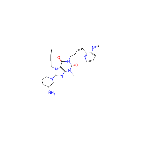 C=Nc1cccnc1/C=C\CCn1c(=O)c2c(nc(N3CCCC(N)C3)n2CC#CC)n(C)c1=O